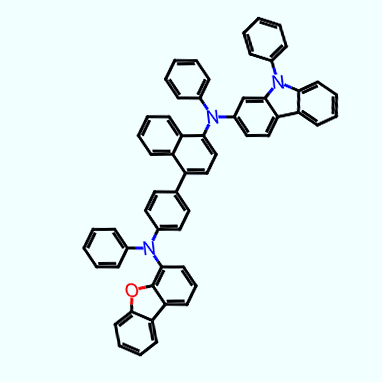 c1ccc(N(c2ccc3c4ccccc4n(-c4ccccc4)c3c2)c2ccc(-c3ccc(N(c4ccccc4)c4cccc5c4oc4ccccc45)cc3)c3ccccc23)cc1